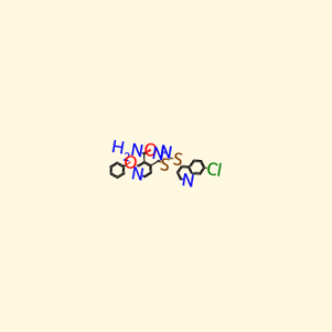 NC(=O)c1c(-c2nnc(Sc3ccnc4cc(Cl)ccc34)s2)ccnc1Oc1ccccc1